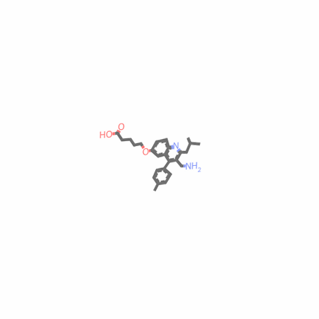 Cc1ccc(-c2c(CN)c(CC(C)C)nc3ccc(OCCCCC(=O)O)cc23)cc1